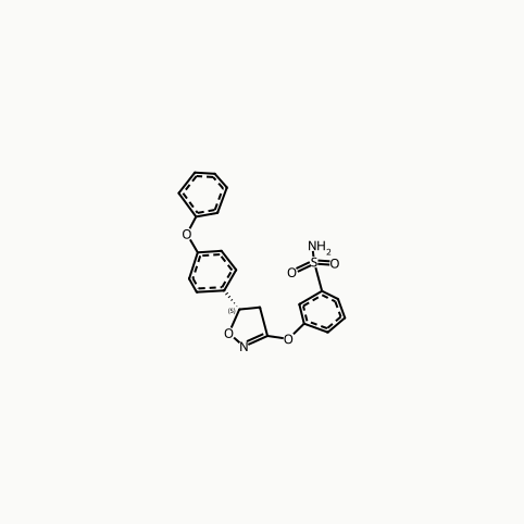 NS(=O)(=O)c1cccc(OC2=NO[C@H](c3ccc(Oc4ccccc4)cc3)C2)c1